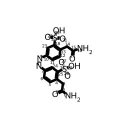 NC(=O)Cc1ccc(/N=N\c2ccc(CC(N)=O)c(S(=O)(=O)O)c2)cc1S(=O)(=O)O